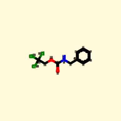 O=C(N[CH]c1ccccc1)OCC(Cl)(Cl)Cl